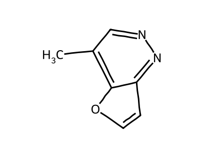 Cc1cnnc2ccoc12